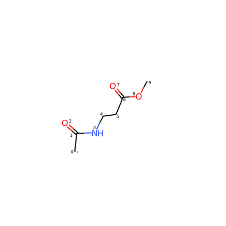 [CH2]C(=O)NCCC(=O)OC